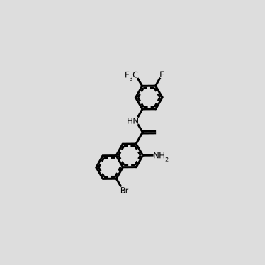 C=C(Nc1ccc(F)c(C(F)(F)F)c1)c1cc2cccc(Br)c2cc1N